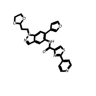 O=C(Nc1cc2cnn(CCC3OCCO3)c2cc1-c1ccoc1)c1csc(-c2ccncc2)n1